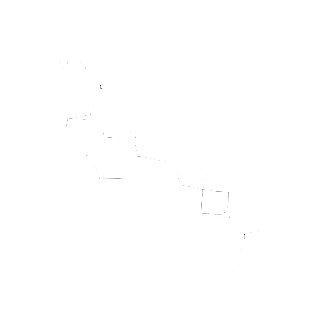 CNC(=O)c1csc2c(C(F)(F)F)cc(OCC3(F)CN(C(=O)OCC(C)C)C3)nc12